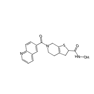 O=C(NO)C1CC2=C(CN(C(=O)c3ccc4ncccc4c3)CC2)S1